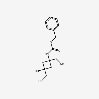 O=C(NC1(CO)CC(O)(CO)C1)OCc1ccccc1